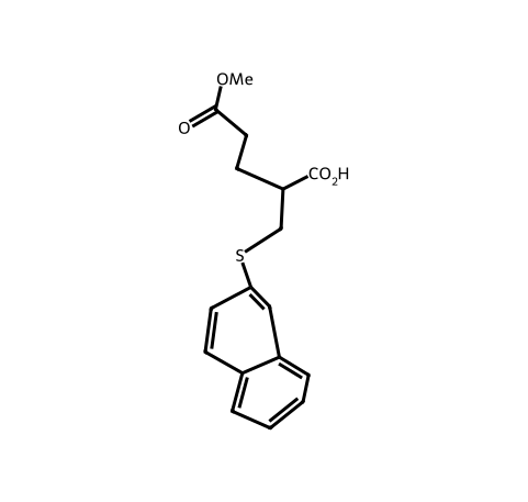 COC(=O)CCC(CSc1ccc2ccccc2c1)C(=O)O